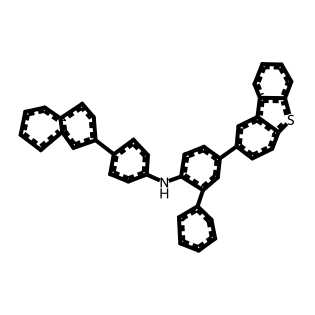 c1ccc(-c2cc(-c3ccc4sc5ccccc5c4c3)ccc2Nc2ccc(-c3ccc4ccccc4c3)cc2)cc1